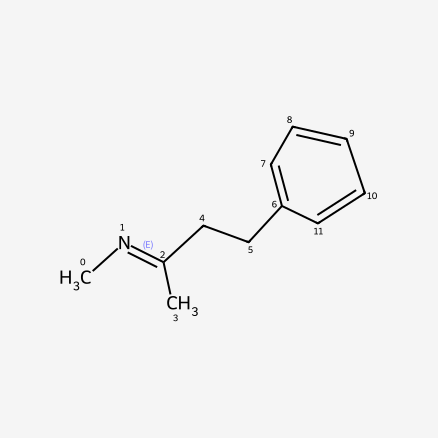 C/N=C(\C)CCc1ccccc1